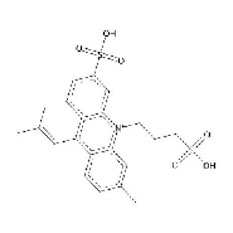 CC(C)=Cc1c2ccc(C)cc2[n+](CCCS(=O)(=O)O)c2cc(S(=O)(=O)O)ccc12